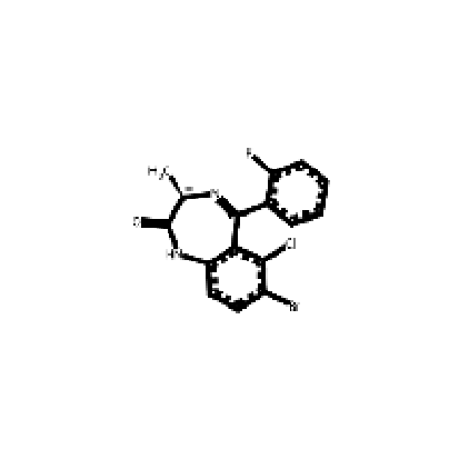 C[C@H]1N=C(c2ccccc2F)c2c(ccc(Br)c2Cl)NC1=O